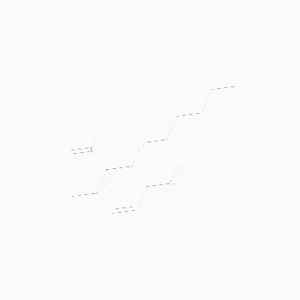 CCCCCNc1c([N+](=O)[O-])ccc(Cl)c1C(=O)O